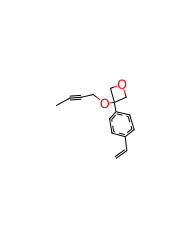 C=Cc1ccc(C2(OCC#CC)COC2)cc1